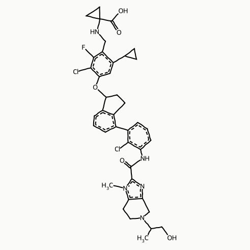 CC(CO)N1CCc2c(nc(C(=O)Nc3cccc(-c4cccc5c4CCC5Oc4cc(C5CC5)c(CNC5(C(=O)O)CC5)c(F)c4Cl)c3Cl)n2C)C1